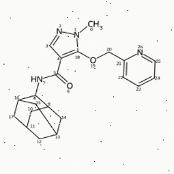 Cn1ncc(C(=O)NC2C3CC4CC(C3)CC2C4)c1OCc1ccccn1